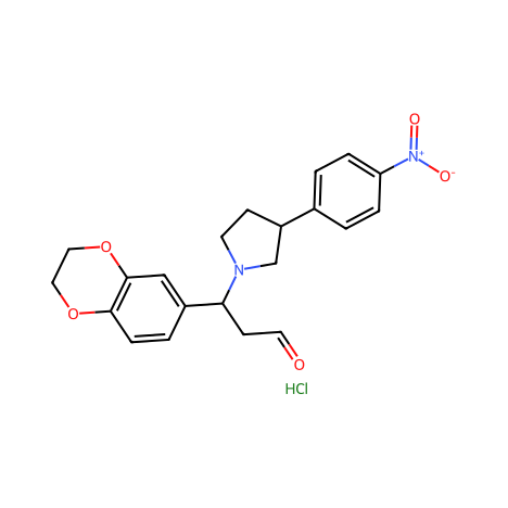 Cl.O=CCC(c1ccc2c(c1)OCCO2)N1CCC(c2ccc([N+](=O)[O-])cc2)C1